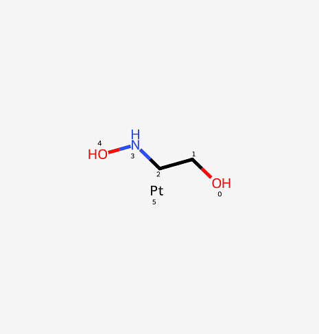 OCCNO.[Pt]